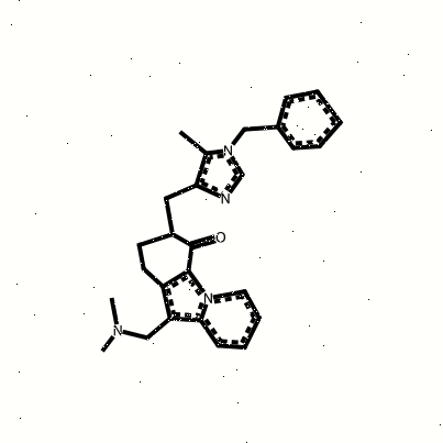 Cc1c(CC2CCc3c(CN(C)C)c4ccccn4c3C2=O)ncn1Cc1ccccc1